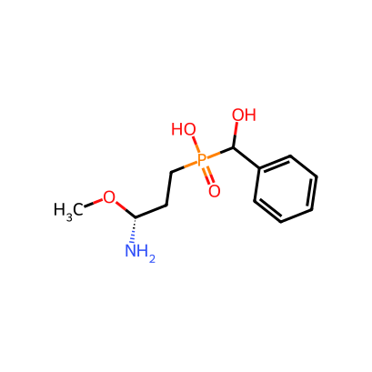 CO[C@@H](N)CCP(=O)(O)C(O)c1ccccc1